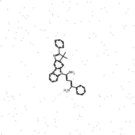 CC1(C)C(c2ccccc2)=Nc2cc3c4ccccc4n(/C(N)=C/C=C(\N)c4ccccc4)c3cc21